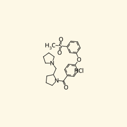 CS(=O)(=O)c1cccc(Oc2ccc(C(=O)N3CCCC3CN3CCCC3)cc2)c1.Cl